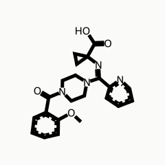 COc1ccccc1C(=O)N1CCN(C(=NC2(C(=O)O)CC2)c2ccccn2)CC1